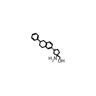 N[C@@]1(CO)CC[C@H](c2ccc3c(c2)CCC(c2ccccc2)C3)C1